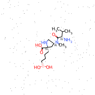 CC(C)[C@H](N)C(=O)N(C)[C@H]1CN[C@](CCCCB(O)O)(C(=O)O)C1